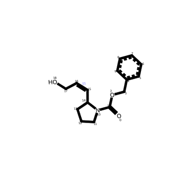 O=C(OCc1ccccc1)N1CCCC1/C=C\CO